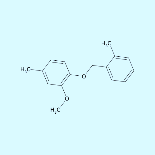 COc1cc(C)ccc1OCc1ccccc1C